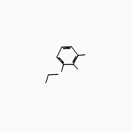 O=CCOc1cccc(F)c1F